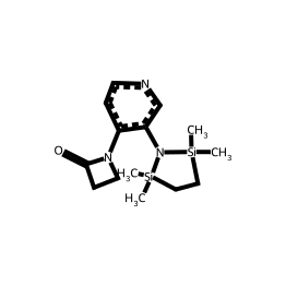 C[Si]1(C)CC[Si](C)(C)N1c1cnccc1N1CCC1=O